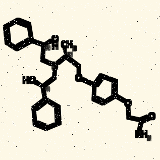 C[C@H](COc1ccc(OCC(N)=O)cc1)N(C[C@H](O)c1ccccc1)C[C@H](O)c1ccccc1